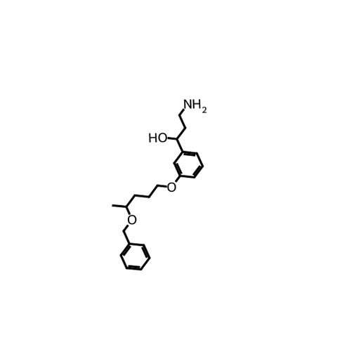 CC(CCCOc1cccc(C(O)CCN)c1)OCc1ccccc1